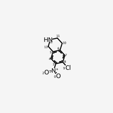 O=[N+]([O-])c1cc2c(cc1Cl)CCNC2